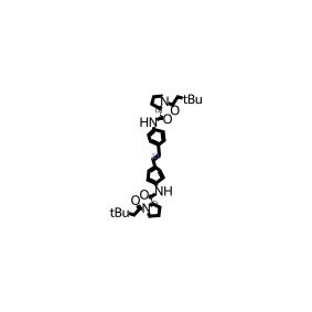 CC(C)(C)CC(=O)N1CCC[C@H]1C(=O)Nc1ccc(/C=C/c2ccc(NC(=O)[C@@H]3CCCN3C(=O)CC(C)(C)C)cc2)cc1